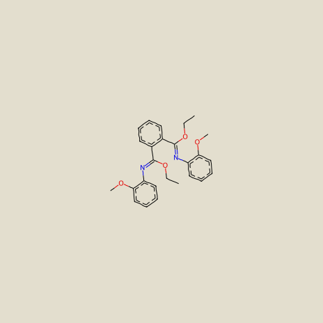 CCO/C(=N\c1ccccc1OC)c1ccccc1/C(=N/c1ccccc1OC)OCC